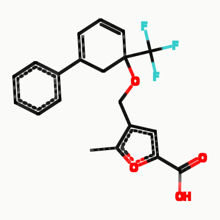 Cc1oc(C(=O)O)cc1COC1(C(F)(F)F)C=CC=C(c2ccccc2)C1